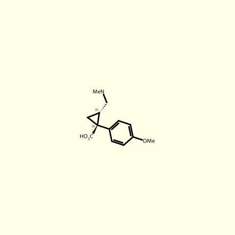 CNC[C@H]1C[C@@]1(C(=O)O)c1ccc(OC)cc1